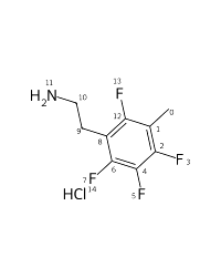 Cc1c(F)c(F)c(F)c(CCN)c1F.Cl